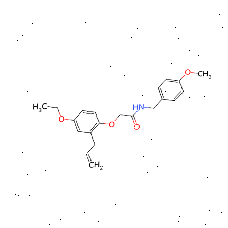 C=CCc1cc(OCC)ccc1OCC(=O)NCc1ccc(OC)cc1